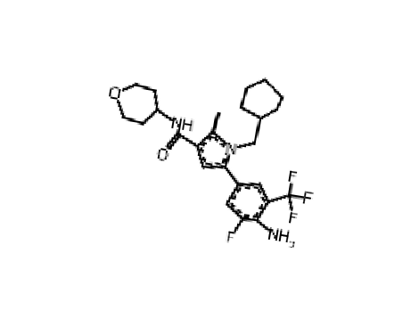 Cc1c(C(=O)NC2CCOCC2)cc(-c2cc(F)c(N)c(C(F)(F)F)c2)n1CC1CCCCC1